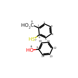 O=C(O)c1ccccc1S.Oc1ccccc1